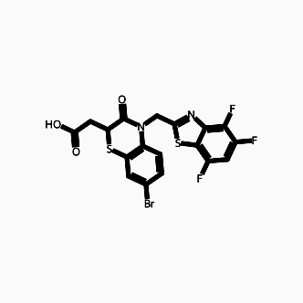 O=C(O)CC1Sc2cc(Br)ccc2N(Cc2nc3c(F)c(F)cc(F)c3s2)C1=O